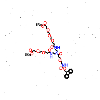 CC(C)(C)OC(=O)CCOCCOCCOCCC(=O)NCCN(CCNC(=O)CCOCCOCCC(=O)OC(C)(C)C)C(=O)CCOCCNC(=O)OCC1c2ccccc2-c2ccccc21